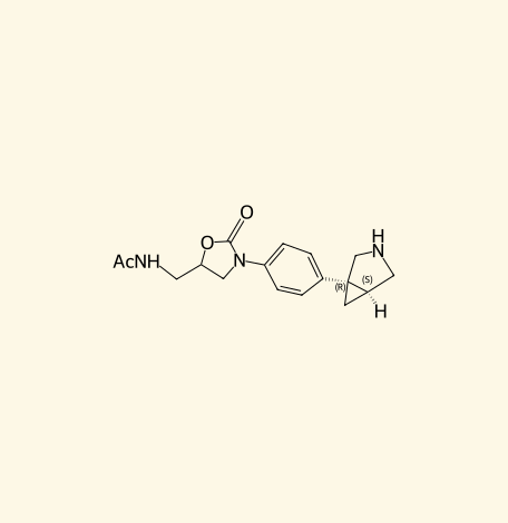 CC(=O)NCC1CN(c2ccc([C@]34CNC[C@H]3C4)cc2)C(=O)O1